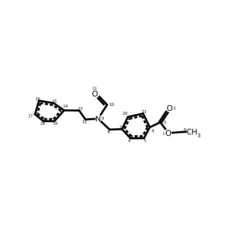 COC(=O)c1ccc(CN(C=O)CCc2ccccc2)cc1